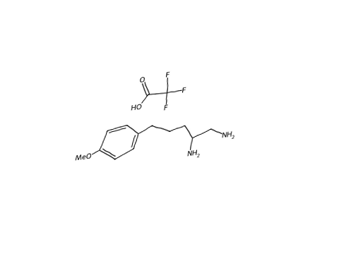 COc1ccc(CCCC(N)CN)cc1.O=C(O)C(F)(F)F